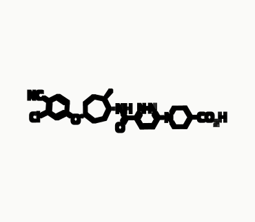 C[C@@H]1CC[C@@H](Oc2ccc(C#N)c(Cl)c2)CC[C@H]1NC(=O)c1ccc(N2CCC(C(=O)O)CC2)nn1